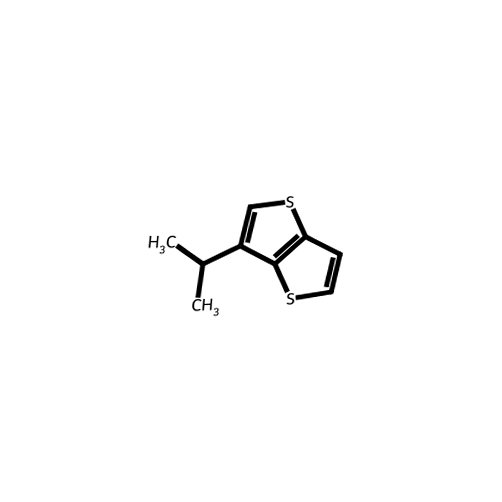 CC(C)c1csc2ccsc12